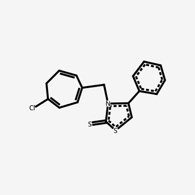 S=c1scc(-c2ccccc2)n1CC1=CC=C(Cl)CC=C1